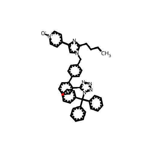 CCCCc1nc(-c2cc[n+]([O-])cc2)cn1Cc1ccc(-c2ccccc2-c2nnnn2C(c2ccccc2)(c2ccccc2)c2ccccc2)cc1